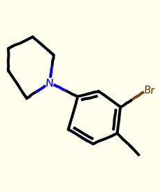 Cc1ccc(N2CCCCC2)cc1Br